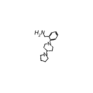 NCc1ccccc1N1CCC(N2CCCC2)CC1